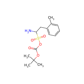 Cc1ccccc1CC(N)S(=O)(=O)OC(=O)OC(C)(C)C